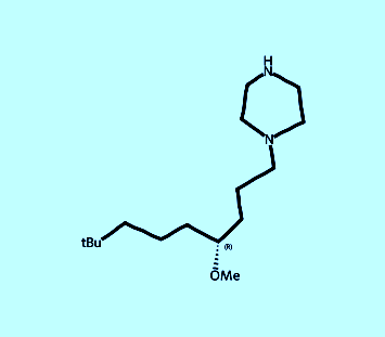 CO[C@@H](CCCN1CCNCC1)CCCC(C)(C)C